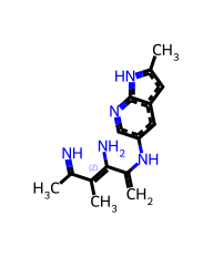 C=C(Nc1cnc2[nH]c(C)cc2c1)/C(N)=C(\C)C(C)=N